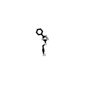 CCC#CCOc1nsc(C2CCCCC2)n1